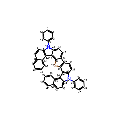 c1ccc(-n2c3ccc4ccccc4c3c3c4sc5c(ccc6c5c5c7ccccc7ccc5n6-c5ccccc5)c4ccc32)cc1